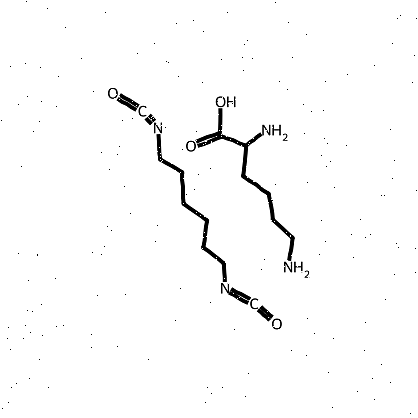 NCCCCC(N)C(=O)O.O=C=NCCCCCCN=C=O